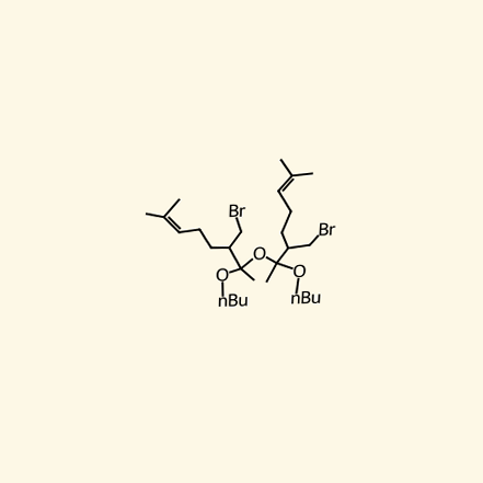 CCCCOC(C)(OC(C)(OCCCC)C(CBr)CCC=C(C)C)C(CBr)CCC=C(C)C